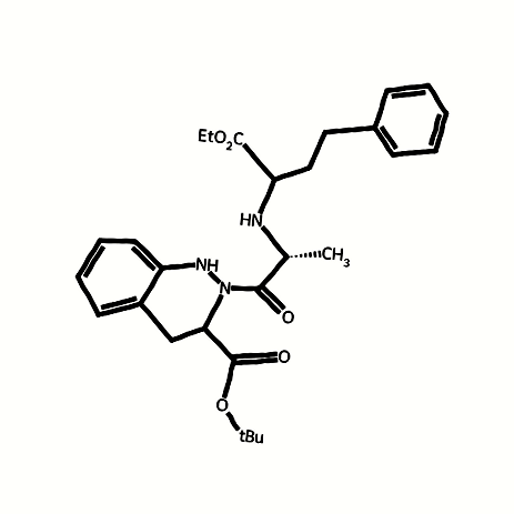 CCOC(=O)C(CCc1ccccc1)N[C@H](C)C(=O)N1Nc2ccccc2CC1C(=O)OC(C)(C)C